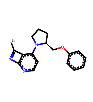 N#CC1=Nc2nccc(N3CCC[C@H]3COc3ccccc3)c21